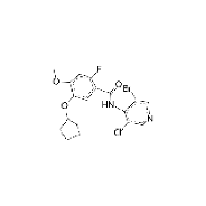 COc1cc(F)c(C(=O)Nc2c(Cl)cncc2Br)cc1OC1CCCC1